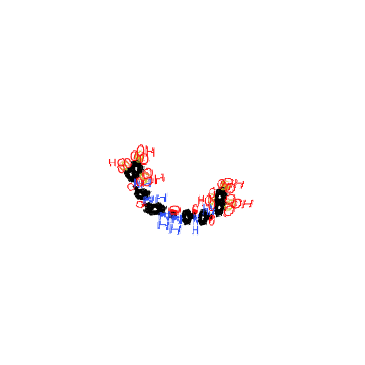 O=C(Nc1ccc(C(=O)Nc2ccc(C(=O)Nc3ccc(S(=O)(=O)O)c4cc(S(=O)(=O)O)cc(S(=O)(=O)O)c34)cc2)cc1)Nc1ccc(C(=O)Nc2ccc(C(=O)Nc3ccc(S(=O)(=O)O)c4cc(S(=O)(=O)O)cc(S(=O)(=O)O)c34)cc2)cc1